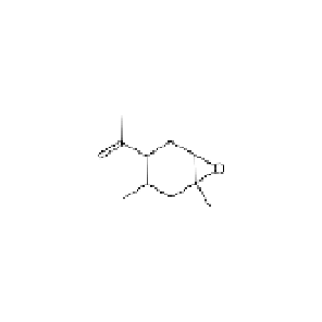 C=C(C)C1CC2OC2(C)CC1C